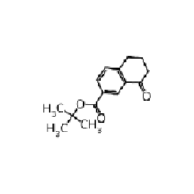 CC(C)(C)OC(=O)c1ccc2c(c1)C(=O)CCC2